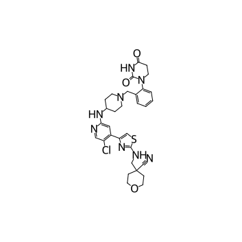 N#CC1(CNc2nc(-c3cc(NC4CCN(Cc5ccccc5N5CCC(=O)NC5=O)CC4)ncc3Cl)cs2)CCOCC1